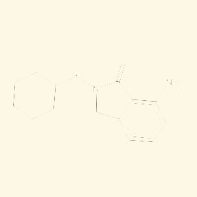 Nc1cccc2c1C(=O)N(CC1CCCCC1)C2